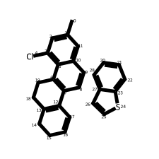 Cc1cc(Cl)c2c3c(ccc2c1)C1=C(CCC=C1)CC3.c1ccc2sccc2c1